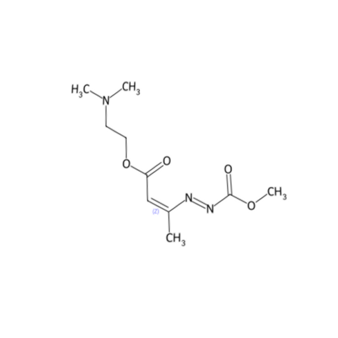 COC(=O)N=N/C(C)=C\C(=O)OCCN(C)C